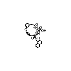 O=C(O)C[C@@H]1NC(=O)CCc2cccc(c2)Oc2ccc(cc2)C[C@@H](C(=O)NCc2cccc3ccccc23)NC1=O